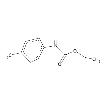 C[CH]OC(=O)Nc1ccc(C)cc1